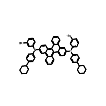 CC(C)(C)c1cccc(N(c2ccc(C3CCCCC3)cc2)c2ccc3c(c2)c2ccccc2c2c4ccc(N(c5ccc(C6CCCCC6)cc5)c5cccc(C(C)(C)C)c5)cc4c4ccccc4c32)c1